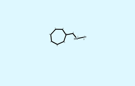 CC(C)NCC1CCCCCC1